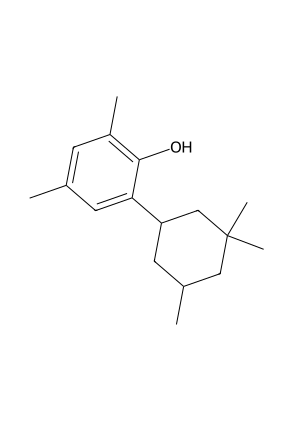 Cc1cc(C)c(O)c(C2CC(C)CC(C)(C)C2)c1